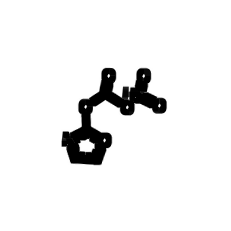 O=C(Oc1ncco1)O[SH](=O)=O